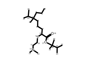 CCCC(C)(CCCC(SCCN(C)C)C(=O)OC(C)(C)C(C)C)C(C)C